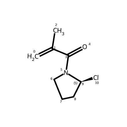 C=C(C)C(=O)N1CCC[C@@H]1Cl